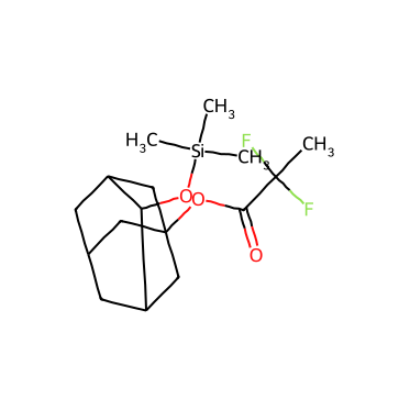 CC(F)(F)C(=O)OC12CC3CC(C1)C(O[Si](C)(C)C)C(C3)C2